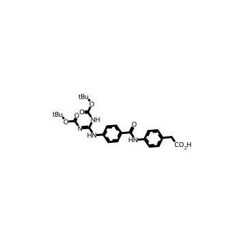 CC(C)(C)OC(=O)/N=C(\NC(=O)OC(C)(C)C)Nc1ccc(C(=O)Nc2ccc(CC(=O)O)cc2)cc1